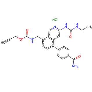 C#CCOC(=O)NCc1ccc(-c2ccc(C(N)=O)cc2)c2cc(NC(=O)NCC)ncc12.Cl